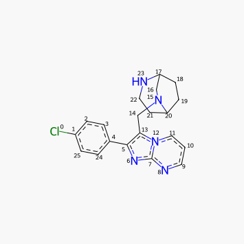 Clc1ccc(-c2nc3ncccn3c2CN2CC3CCC2CCN3)cc1